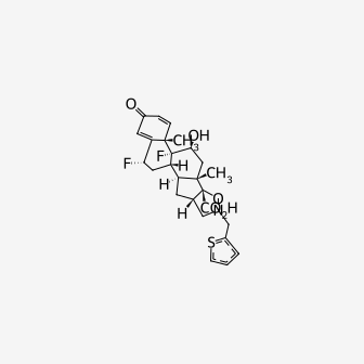 C[C@]12C=CC(=O)C=C1[C@@H](F)C[C@H]1[C@@H]3C[C@H]4CN(Cc5cccs5)O[C@@]4(C(=O)O)[C@@]3(C)C[C@H](O)[C@@]12F